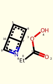 CCC(=O)OO.c1cc2ncc1-2